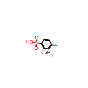 O=S(=O)(O)c1ccc(F)cc1.[GaH3]